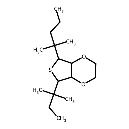 CCCC(C)(C)C1SC(C(C)(C)CC)C2OCCOC21